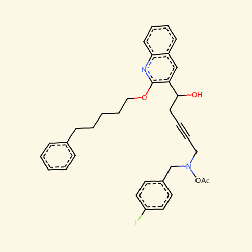 CC(=O)ON(CC#CCC(O)c1cc2ccccc2nc1OCCCCCc1ccccc1)Cc1ccc(F)cc1